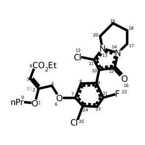 CCCO/C(=C/C(=O)OCC)COc1cc(-c2c(Cl)n3n(c2=O)CCCC3)c(F)cc1Cl